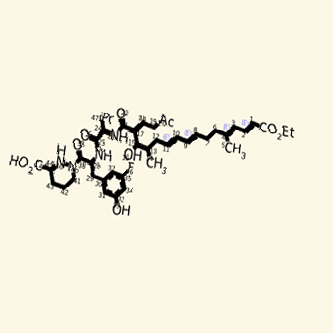 CCOC(=O)/C=C/C=C(\C)CC/C=C/C=C/CC(C)C(O)C(CCC(C)=O)C(=O)NC(C(=O)NC(Cc1cc(O)cc(F)c1)C(=O)N1CCCC(C(=O)O)N1)C(C)C